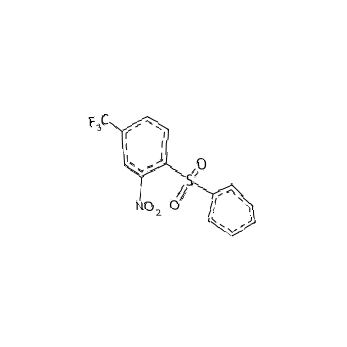 O=[N+]([O-])c1cc(C(F)(F)F)ccc1S(=O)(=O)c1ccccc1